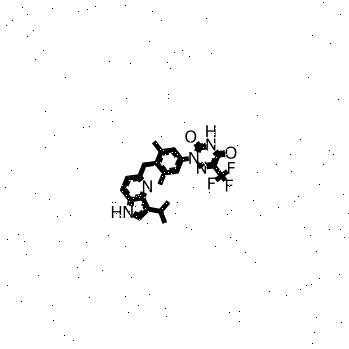 Cc1cc(-n2nc(C(F)(F)F)c(=O)[nH]c2=O)cc(C)c1Cc1ccc2[nH]cc(C(C)C)c2n1